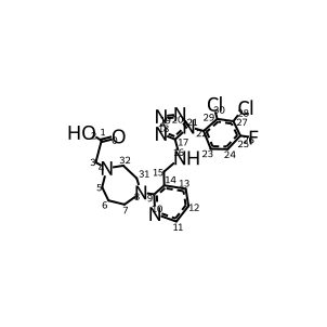 O=C(O)CN1CCCN(c2ncccc2CNc2nnnn2-c2ccc(F)c(Cl)c2Cl)CC1